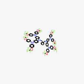 FC(F)(F)Oc1ccc(N(c2ccc(OC(F)(F)F)cc2)c2ccc3c(c2)c2cc(N(c4ccc(OC(F)(F)F)cc4)c4ccc(OC(F)(F)F)cc4)ccc2n3Cc2ccccc2Cn2c3ccc(N(c4ccc(OC(F)(F)F)cc4)c4ccc(OC(F)(F)F)cc4)cc3c3cc(N(c4ccc(OC(F)(F)F)cc4)c4ccc(OC(F)(F)F)cc4)ccc32)cc1